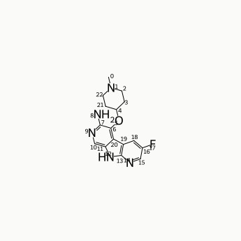 CN1CCC(Oc2c(N)ncc3[nH]c4ncc(F)cc4c23)CC1